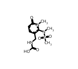 CN(c1c(CNC(=O)O)ccc(=O)n1C)S(C)(=O)=O